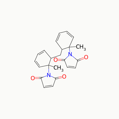 CC1(N2C(=O)C=CC2=O)C=CC=CC1CC1C=CC=CC1(C)N1C(=O)C=CC1=O